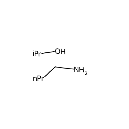 CC(C)O.CCCCN